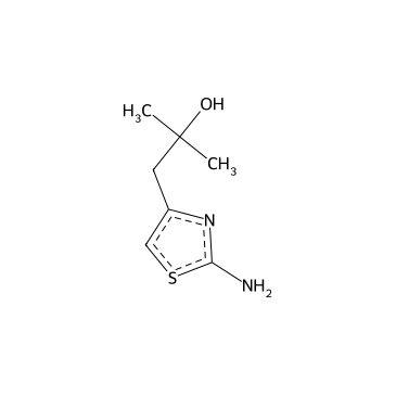 CC(C)(O)Cc1csc(N)n1